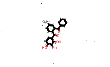 O=C(c1ccccc1)c1cc([N+](=O)[O-])ccc1C(=O)c1ccc(O)c(O)c1O